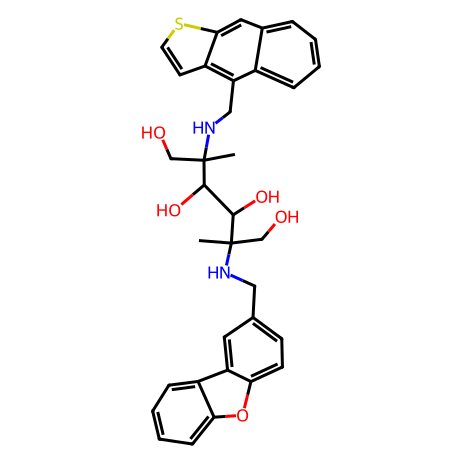 CC(CO)(NCc1ccc2oc3ccccc3c2c1)C(O)C(O)C(C)(CO)NCc1c2ccccc2cc2sccc12